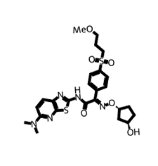 COCCCS(=O)(=O)c1ccc(/C(=N\O[C@@H]2CC[C@@H](O)C2)C(=O)Nc2nc3ccc(N(C)C)nc3s2)cc1